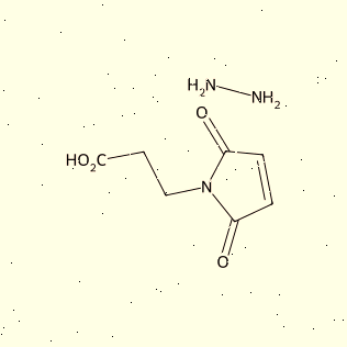 NN.O=C(O)CCN1C(=O)C=CC1=O